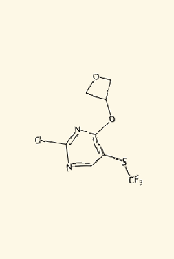 FC(F)(F)Sc1cnc(Cl)nc1OC1COC1